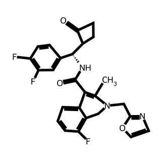 CC1=C(C(=O)N[C@H](c2ccc(F)c(F)c2)C2CCC2=O)c2cccc(F)c2CN1Cc1ncco1